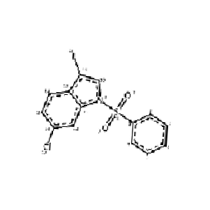 O=S(=O)(c1ccccc1)n1cc(I)c2ccc(Cl)cc21